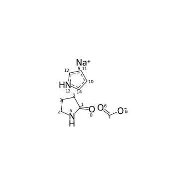 O=C1CCCN1.O=C[O-].[Na+].c1cc[nH]c1